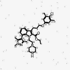 CCOC(=O)c1c(CCCOc2cc(C)c(Cl)c(C)c2)c2cccc(-c3c(C)nn(C)c3C)c2n1CCN1CCNCC1